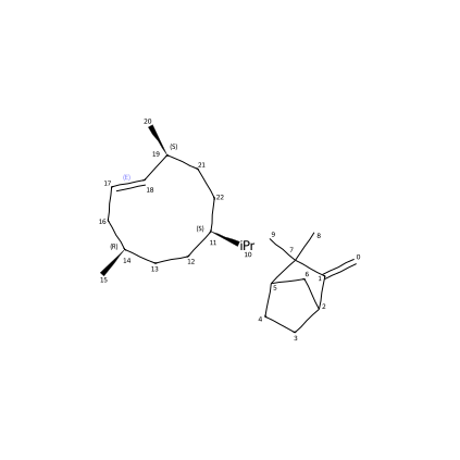 C=C1C2CCC(C2)C1(C)C.CC(C)[C@H]1CC[C@@H](C)C/C=C/[C@@H](C)CC1